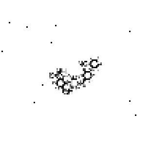 N#Cc1ccccc1-c1ccc(CN2CCN(c3cc(C(N)=O)ccc3O)CC2)cc1